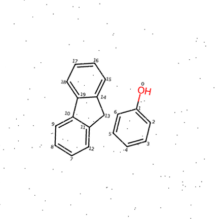 Oc1ccccc1.c1ccc2c(c1)Cc1ccccc1-2